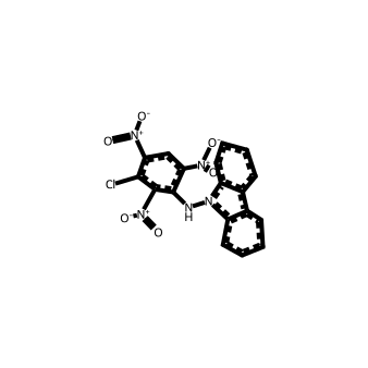 O=[N+]([O-])c1cc([N+](=O)[O-])c(Nn2c3ccccc3c3ccccc32)c([N+](=O)[O-])c1Cl